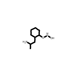 CC(N)CC1CCCCC1OPO